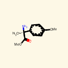 COC(=O)[C@@](C)(N)c1ccc(OC)cc1